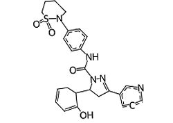 O=C(Nc1ccc(N2CCCCS2(=O)=O)cc1)N1N=C(c2cccnc2)CC1C1CC=CC=C1O